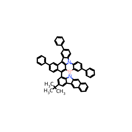 CC(C)(C)c1cc2c3c(c1)c1cc4ccccc4cc1n3B1c3cc(-c4ccccc4)ccc3-n3c4ccc(-c5ccccc5)cc4c4c5cc(-c6ccccc6)ccc5c-2c1c43